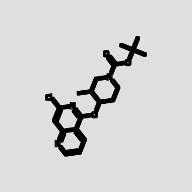 CC1CN(C(=O)OC(C)(C)C)CCC1Oc1nc(Cl)cc2ncccc12